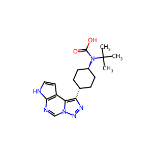 CC(C)(C)N(C(=O)O)[C@H]1CC[C@H](c2nnn3cnc4[nH]ccc4c23)CC1